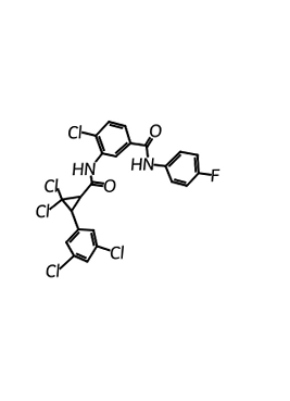 O=C(Nc1ccc(F)cc1)c1ccc(Cl)c(NC(=O)C2C(c3cc(Cl)cc(Cl)c3)C2(Cl)Cl)c1